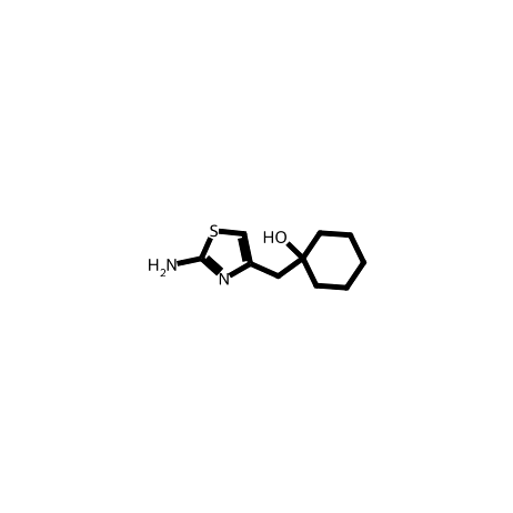 Nc1nc(CC2(O)CCCCC2)cs1